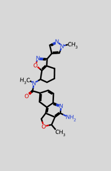 CC1OCc2c1c(N)nc1ccc(C(=O)N(C)C3CCCc4c(-c5cnn(C)c5)noc43)cc21